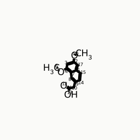 COc1cc(OC)c2cc(CC(=O)O)ccc2c1